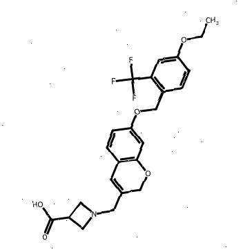 CCOc1ccc(COc2ccc3c(c2)OCC(CN2CC(C(=O)O)C2)=C3)c(C(F)(F)F)c1